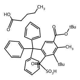 CCCCC(=O)O.Cc1c(C(=O)OC(C)(C)C)cc(C(c2ccccc2)(c2ccccc2)c2ccccc2)c(C(=O)S(=O)(=O)O)c1C(C)(C)C